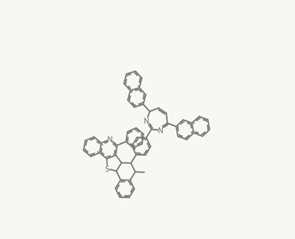 CC1c2ccccc2C2Sc3c(c(-c4ccccc4)nc4ccccc34)C2C1c1ccc(C2=NC(c3ccc4ccccc4c3)C=CC(c3ccc4ccccc4c3)=N2)cc1